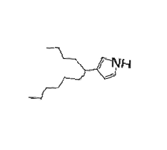 CCCCCCC(CCCC)c1cc[nH]c1